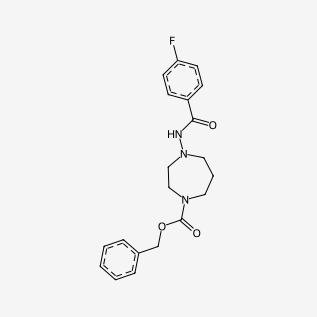 O=C(NN1CCCN(C(=O)OCc2ccccc2)CC1)c1ccc(F)cc1